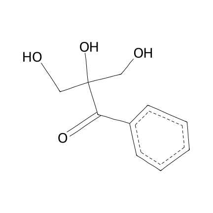 O=C(c1ccccc1)C(O)(CO)CO